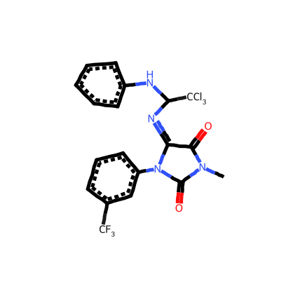 CN1C(=O)C(=NC(Nc2ccccc2)C(Cl)(Cl)Cl)N(c2cccc(C(F)(F)F)c2)C1=O